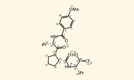 COc1ccc(C(=O)N[C@H](C(=O)N2CCC[C@H]2C(=O)N[C@@H](C(C)C)[C@@H](O)C(F)(F)F)C(C)C)cc1